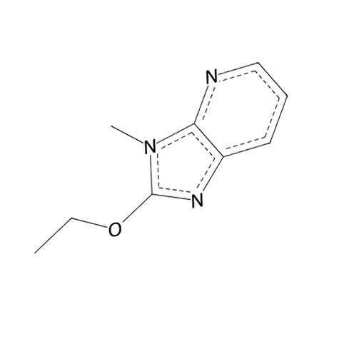 CCOc1nc2cccnc2n1C